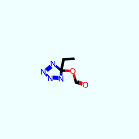 CCC1(OC=O)N=NN=N1